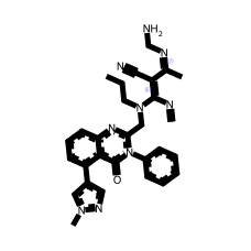 C=N/C(=C(C#N)\C(C)=N/CN)N(CCC)Cc1nc2cccc(-c3cnn(C)c3)c2c(=O)n1-c1ccccc1